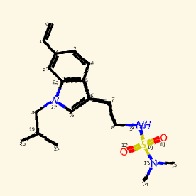 C=Cc1ccc2c(CCNS(=O)(=O)N(C)C)cn(CC(C)C)c2c1